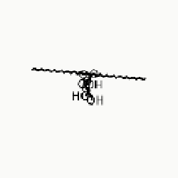 CCCCCCC=CCCCCCCCCOC(COCCCCCCCCCCCCCCCC)COP(=O)(O)OCC(O)CO